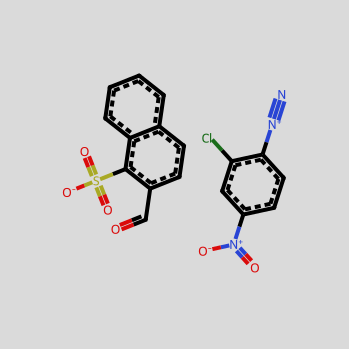 N#[N+]c1ccc([N+](=O)[O-])cc1Cl.O=Cc1ccc2ccccc2c1S(=O)(=O)[O-]